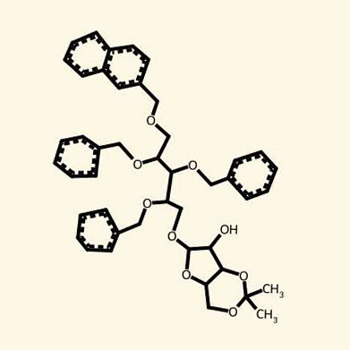 CC1(C)OCC2OC(OCC(OCc3ccccc3)C(OCc3ccccc3)C(COCc3ccc4ccccc4c3)OCc3ccccc3)C(O)C2O1